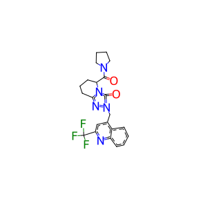 O=C(C1CCCc2nn(Cc3cc(C(F)(F)F)nc4ccccc34)c(=O)n21)N1CCCC1